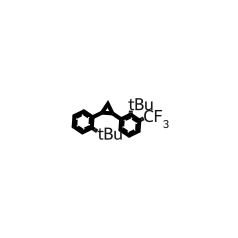 CC(C)(C)c1ccccc1C1CC1c1cccc(C(F)(F)F)c1C(C)(C)C